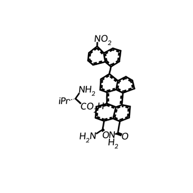 CC(C)[C@H](N)C(=O)O.NC(=O)c1ccc2c3cccc4c(-c5cccc6c([N+](=O)[O-])cccc56)ccc(c5ccc(C(N)=O)c1c25)c43